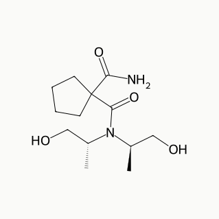 C[C@H](CO)N(C(=O)C1(C(N)=O)CCCC1)[C@H](C)CO